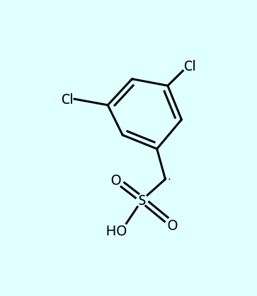 O=S(=O)(O)[CH]c1cc(Cl)cc(Cl)c1